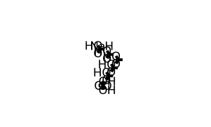 CC(=O)O.CC(=O)O.CC(=O)O.CC(=O)O.CC(=O)O.O=S(=O)(O)O.[NaH]